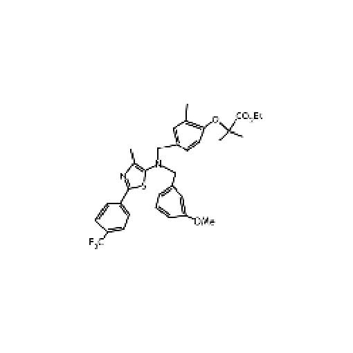 CCOC(=O)C(C)(C)Oc1ccc(CN(Cc2cccc(OC)c2)c2sc(-c3ccc(C(F)(F)F)cc3)nc2C)cc1C